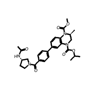 COC(=O)N1c2ccc(-c3ccc(C(=O)N4CC[C@H](NC(C)=O)C4)cc3)cc2N(C(=O)OC(C)C)C[C@@H]1C